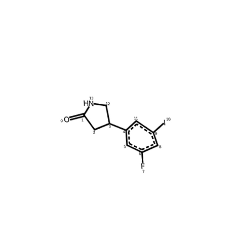 O=C1CC(c2cc(F)cc(I)c2)CN1